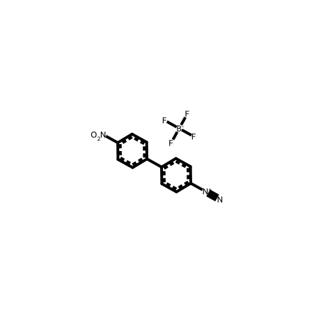 F[B-](F)(F)F.N#[N+]c1ccc(-c2ccc([N+](=O)[O-])cc2)cc1